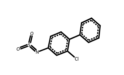 O=S(=O)=Nc1ccc(-c2ccccc2)c(Cl)c1